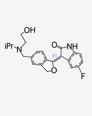 CC(C)N(CCO)Cc1ccc2c(c1)CO/C2=C1/C(=O)Nc2ccc(F)cc21